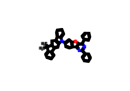 CC1(C)c2ccccc2-c2cc3c(cc21)c1ccccc1n3-c1ccc2c(c1)oc1c(-c3ccccc3)nc(-c3ccccc3)nc12